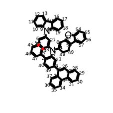 C1=C(N(c2cccc(-n3c4ccccc4c4ccccc43)c2)c2cc(-c3cc4ccccc4c4ccccc34)ccc2-c2ccccc2)CCc2c1oc1ccccc21